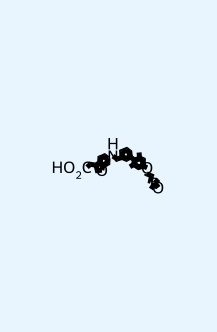 Cc1cc(OCCCP(C)(C)=O)cc(C)c1-c1cccc(CNc2ccc3c(c2)OCC3CC(=O)O)c1